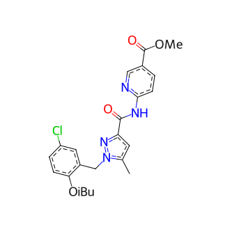 COC(=O)c1ccc(NC(=O)c2cc(C)n(Cc3cc(Cl)ccc3OCC(C)C)n2)nc1